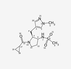 Cn1cc(C[C@H]2C(NS(C)(=O)=O)CCN2C(=O)C2CC2)cn1